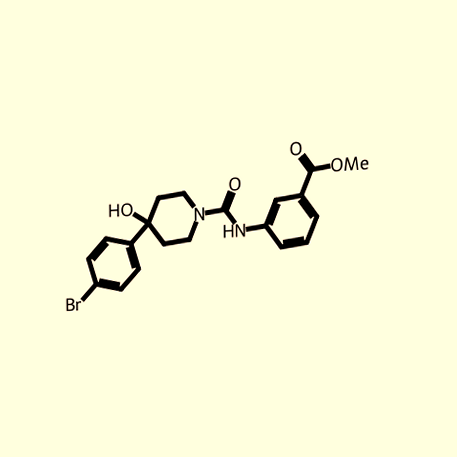 COC(=O)c1cccc(NC(=O)N2CCC(O)(c3ccc(Br)cc3)CC2)c1